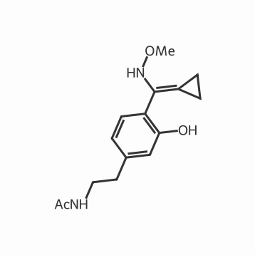 CONC(=C1CC1)c1ccc(CCNC(C)=O)cc1O